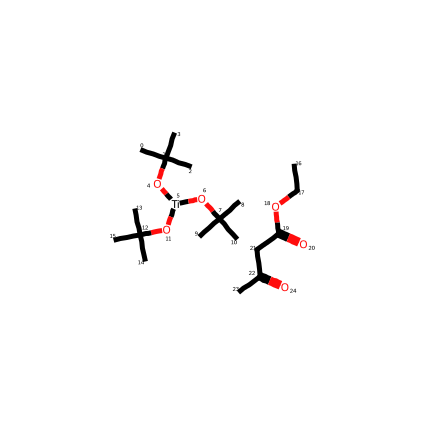 CC(C)(C)[O][Ti]([O]C(C)(C)C)[O]C(C)(C)C.CCOC(=O)CC(C)=O